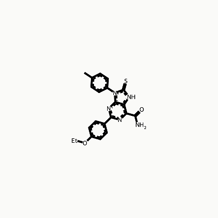 CCOc1ccc(-c2nc(C(N)=O)c3[nH]c(=S)n(-c4ccc(C)cc4)c3n2)cc1